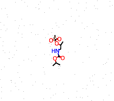 CC(C)OC(=O)NCC(C)OS(C)(=O)=O